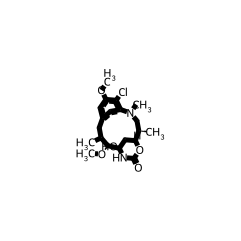 COc1cc2cc(c1Cl)N(C)C[C@H](C)[C@@H]1C[C@@](O)(NC(=O)O1)[C@H](OC)C(C)C2